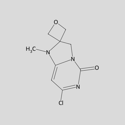 CN1c2cc(Cl)nc(=O)n2CC12COC2